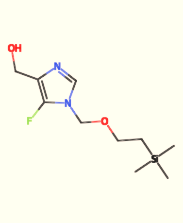 C[Si](C)(C)CCOCn1cnc(CO)c1F